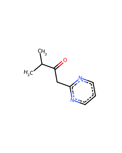 CC(C)C(=O)Cc1ncccn1